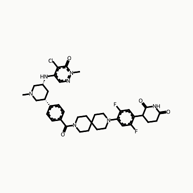 CN1C[C@H](Nc2cnn(C)c(=O)c2Cl)C[C@H](c2ccc(C(=O)N3CCC4(CC3)CCN(c3cc(F)c(C5CCC(=O)NC5=O)cc3F)CC4)cc2)C1